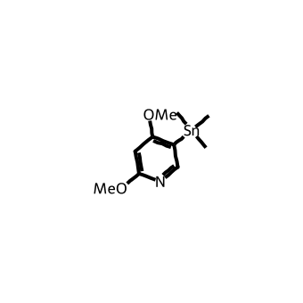 COc1cc(OC)[c]([Sn]([CH3])([CH3])[CH3])cn1